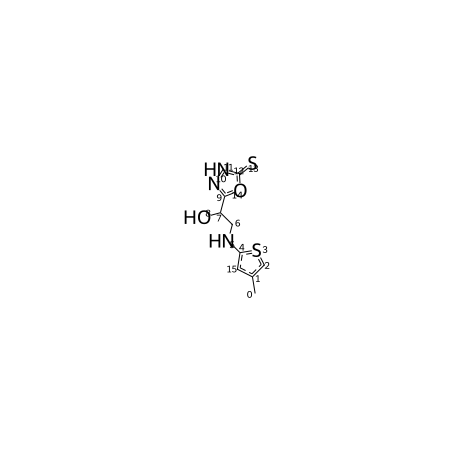 Cc1csc(NCC(O)c2n[nH]c(=S)o2)c1